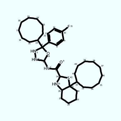 O=C(NC1NNC(c2ccc(F)cc2)(C2CCCCCCCC2)O1)C1NC2CCCCC2(C2CCCCCCCCC2)S1